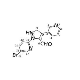 O=CC1C(c2cccnc2)CNN1c1ccc(Br)cn1